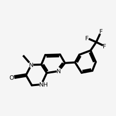 CN1C(=O)CNc2nc(-c3cccc(C(F)(F)F)c3)ccc21